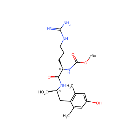 Cc1cc(O)cc(C)c1C[C@H](NC(=O)[C@@H](CCCNC(=N)N)NC(=O)OC(C)(C)C)C(=O)O